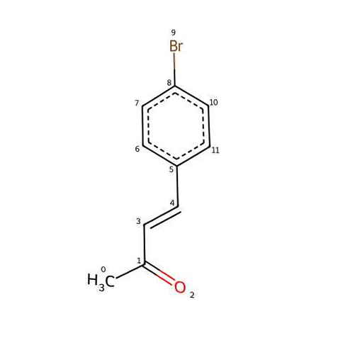 CC(=O)C=Cc1ccc(Br)cc1